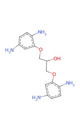 Nc1ccc(N)c(OCC(O)COc2cc(N)ccc2N)c1